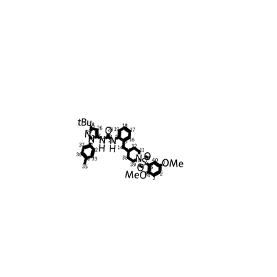 COc1ccc(OC)c(S(=O)(=O)N2CCC(Cc3ccccc3NC(=O)Nc3cc(C(C)(C)C)nn3-c3ccc(C)cc3)CC2)c1